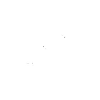 CN1CN([S+]([O-])Cc2ccccn2)c2ccccc21